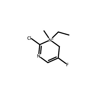 CC[N+]1(C)CC(F)=CN=C1Cl